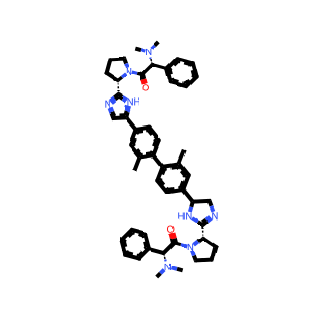 Cc1cc(-c2cnc([C@@H]3CCCN3C(=O)[C@@H](c3ccccc3)N(C)C)[nH]2)ccc1-c1ccc(C2CN=C([C@@H]3CCCN3C(=O)[C@@H](c3ccccc3)N(C)C)N2)cc1C